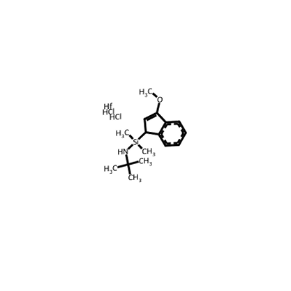 COC1=CC([Si](C)(C)NC(C)(C)C)c2ccccc21.Cl.Cl.[Hf]